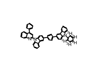 [2H]c1c([2H])c([2H])c(-n2c3ccccc3c3cc(-c4ccc(-c5ccc6c(c5)c5ccccc5n6-c5cc(-c6ccccc6)c6ccccc6n5)cc4)ccc32)c([2H])c1[2H]